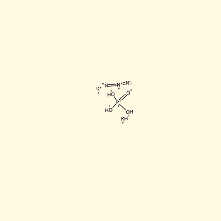 O=P(O)(O)O.[K+].[KH].[N-]=[N+]=[N-]